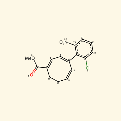 COC(=O)/C1=C/C=C(c2c(Cl)cccc2[N+](=O)[O-])\C=C/CC1